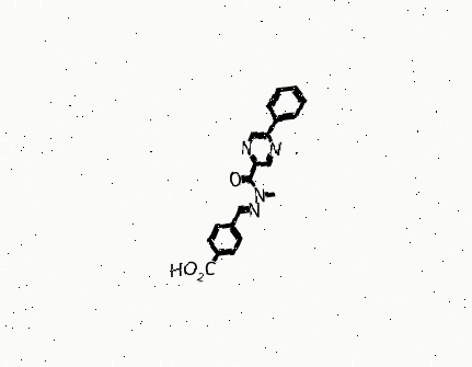 CN(/N=C/c1ccc(C(=O)O)cc1)C(=O)c1cnc(-c2ccccc2)cn1